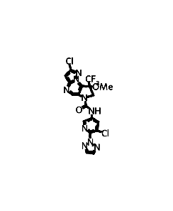 COC1(C(F)(F)F)CN(C(=O)Nc2cnc(-n3nccn3)c(Cl)c2)c2cnc3cc(Cl)nn3c21